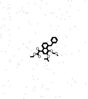 CCOC(=O)C(=O)c1cc(OC(C)C)c(OCOC)c2c(Cc3ccccc3)cccc12